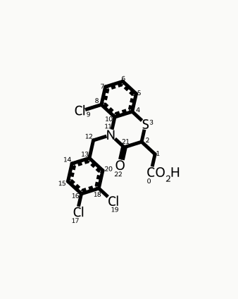 O=C(O)CC1Sc2cccc(Cl)c2N(Cc2ccc(Cl)c(Cl)c2)C1=O